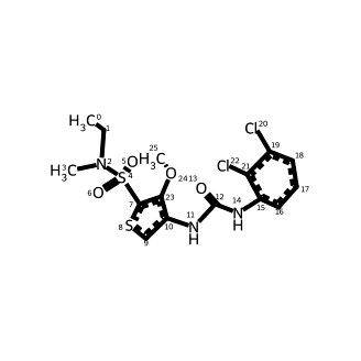 CCN(C)S(=O)(=O)c1scc(NC(=O)Nc2cccc(Cl)c2Cl)c1OC